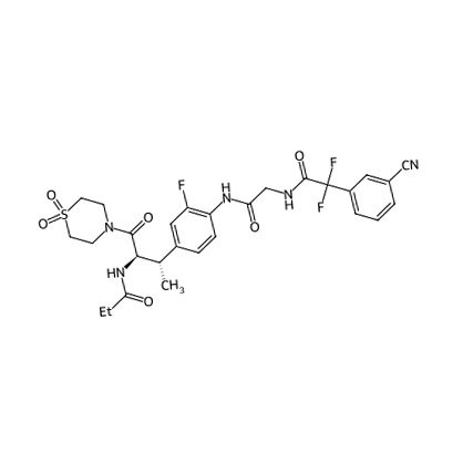 CCC(=O)N[C@@H](C(=O)N1CCS(=O)(=O)CC1)[C@@H](C)c1ccc(NC(=O)CNC(=O)C(F)(F)c2cccc(C#N)c2)c(F)c1